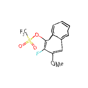 COc1cc2ccccc2c(OS(=O)(=O)C(F)(F)F)c1F